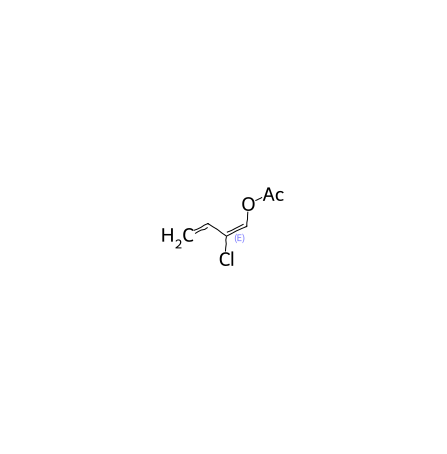 C=C/C(Cl)=C\OC(C)=O